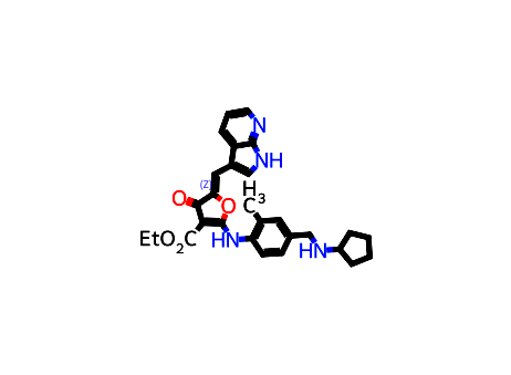 CCOC(=O)C1=C(Nc2ccc(CNC3CCCC3)cc2C)O/C(=C\c2c[nH]c3ncccc23)C1=O